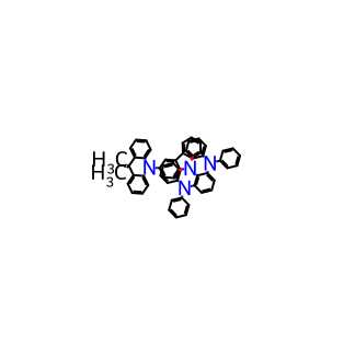 CC1(C)c2ccccc2N(c2ccc3c(c2)c2ccccc2n3-c2c(N(c3ccccc3)c3ccccc3)cccc2N(c2ccccc2)c2ccccc2)c2ccccc21